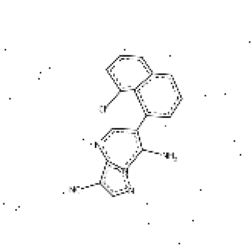 N#Cc1cnn2c(N)c(-c3cccc4cccc(Cl)c34)cnc12